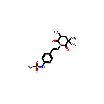 CC1CC(C)(C)C(=O)B(C=Cc2ccc(NS(C)(=O)=O)cc2)C1=O